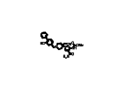 COC(=O)Nc1nn(C2(CC#N)CCN(Cc3ccc(-c4ccccc4)c(O)c3)CC2)cc1C(N)=O